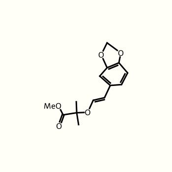 COC(=O)C(C)(C)OC=Cc1ccc2c(c1)OCO2